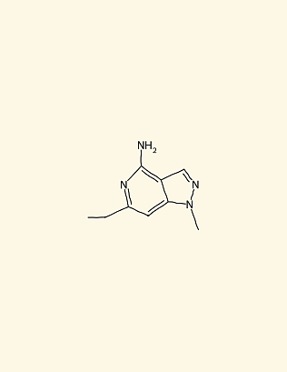 CCc1cc2c(cnn2C)c(N)n1